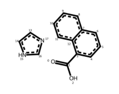 O=C(O)c1cccc2ccccc12.c1c[nH]cn1